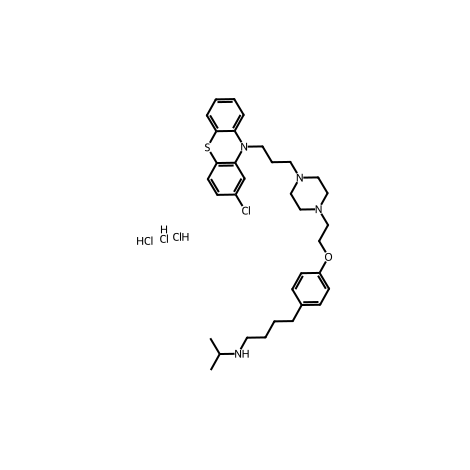 CC(C)NCCCCc1ccc(OCCN2CCN(CCCN3c4ccccc4Sc4ccc(Cl)cc43)CC2)cc1.Cl.Cl.Cl